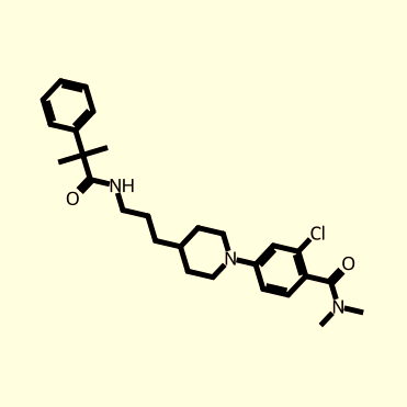 CN(C)C(=O)c1ccc(N2CCC(CCCNC(=O)C(C)(C)c3ccccc3)CC2)cc1Cl